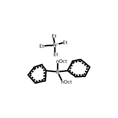 CCCCCCCC[B-](CCCCCCCC)(c1ccccc1)c1ccccc1.CC[N+](CC)(CC)CC